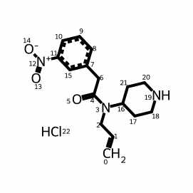 C=CCN(C(=O)Cc1cccc([N+](=O)[O-])c1)C1CCNCC1.Cl